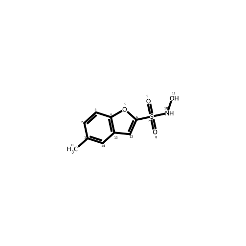 Cc1ccc2oc(S(=O)(=O)NO)cc2c1